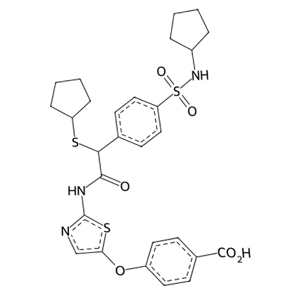 O=C(O)c1ccc(Oc2cnc(NC(=O)C(SC3CCCC3)c3ccc(S(=O)(=O)NC4CCCC4)cc3)s2)cc1